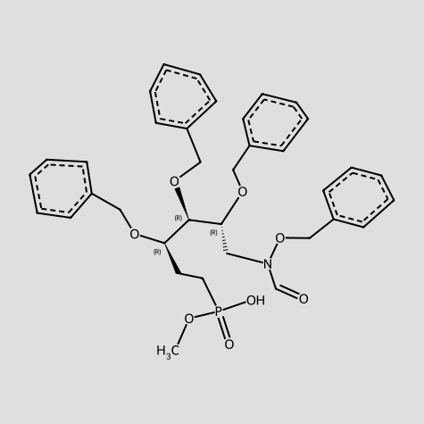 COP(=O)(O)CC[C@@H](OCc1ccccc1)[C@@H](OCc1ccccc1)[C@@H](CN(C=O)OCc1ccccc1)OCc1ccccc1